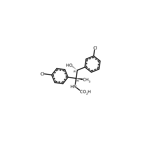 C[C@@](NC(=O)O)(c1ccc(Cl)cc1)[C@H](O)c1cccc(Cl)c1